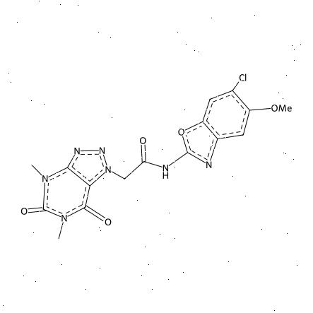 COc1cc2nc(NC(=O)Cn3nnc4c3c(=O)n(C)c(=O)n4C)oc2cc1Cl